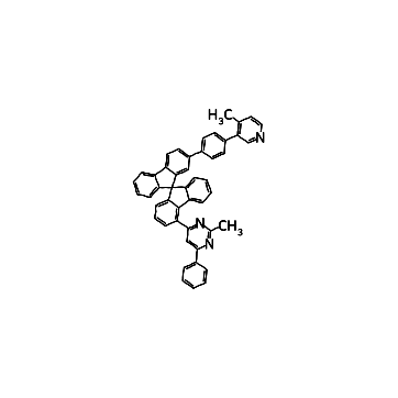 Cc1nc(-c2ccccc2)cc(-c2cccc3c2-c2ccccc2C32c3ccccc3-c3ccc(-c4ccc(-c5cnccc5C)cc4)cc32)n1